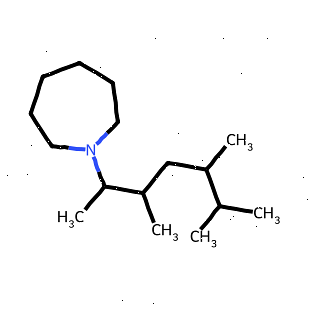 CC(C)C(C)CC(C)C(C)N1CCCCCC1